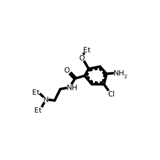 CCOc1cc(N)c(Cl)cc1C(=O)NCCN(CC)CC